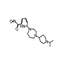 CC(C)N1CCC(N2CCCN(C3C=CC=C(C(=O)N=O)N3)CC2)CC1